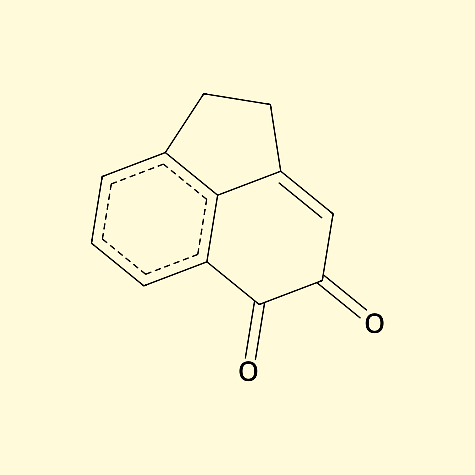 O=C1C=C2CCc3cccc(c32)C1=O